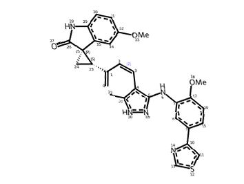 C=C(/C=C\c1c(Nc2cc(-c3cscn3)ccc2OC)n[nH]c1C)[C@@H]1C[C@@]12C(=O)Nc1ccc(OC)cc12